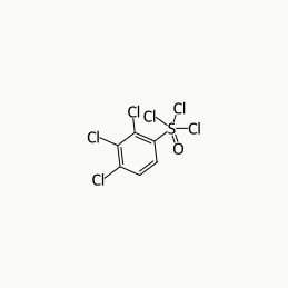 O=S(Cl)(Cl)(Cl)c1ccc(Cl)c(Cl)c1Cl